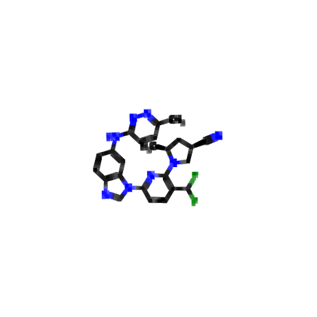 Cc1ccc(Nc2ccc3ncn(-c4ccc(C(F)F)c(N5C[C@H](C#N)C[C@@H]5C)n4)c3c2)nn1